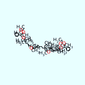 C=CC(=O)OC(C)(C)C(COC(C)(C)C(C)(C)CCCCOC(C)(C)CC(C)(CCC1CC(C)(CC(C)(C)OCCCCC(C)(C)C(C)(C)OCC(c2ccccc2)C(C)(C)OC(=O)C=C)C1)CC(C)C=C)c1ccccc1